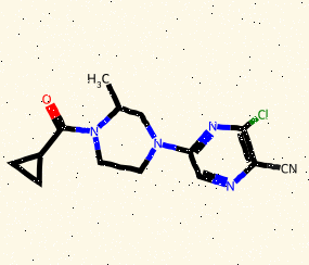 CC1CN(c2cnc(C#N)c(Cl)n2)CCN1C(=O)C1CC1